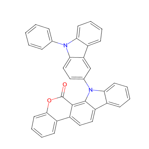 O=c1oc2ccccc2c2ccc3c4ccccc4n(-c4ccc5c(c4)c4ccccc4n5-c4ccccc4)c3c12